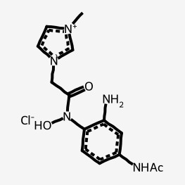 CC(=O)Nc1ccc(N(O)C(=O)Cn2cc[n+](C)c2)c(N)c1.[Cl-]